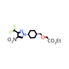 CCOC(=O)COC[C@H]1CC[C@H](n2cc([N+](=O)[O-])c(C(F)F)n2)CC1